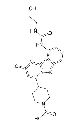 O=C(NCCO)Nc1cccc2nn3c(C4CCN(C(=O)O)CC4)cc(=O)[nH]c3c12